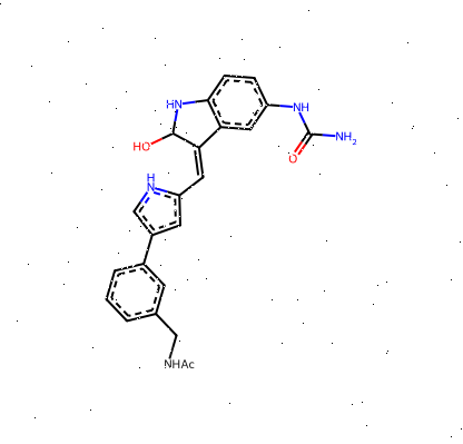 CC(=O)NCc1cccc(-c2c[nH]c(C=C3c4cc(NC(N)=O)ccc4NC3O)c2)c1